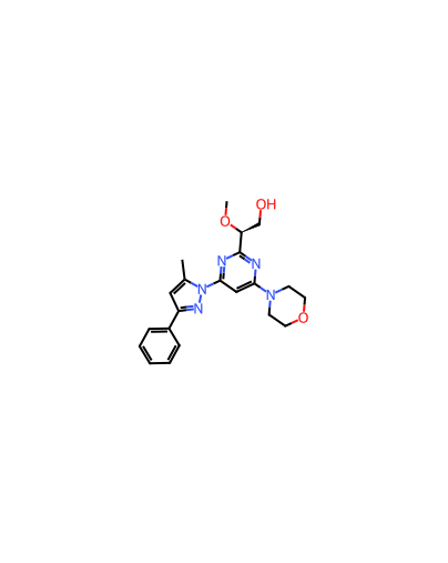 CO[C@@H](CO)c1nc(N2CCOCC2)cc(-n2nc(-c3ccccc3)cc2C)n1